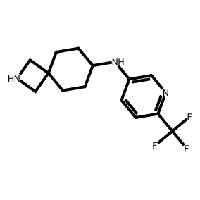 FC(F)(F)c1ccc(NC2CCC3(CC2)CNC3)cn1